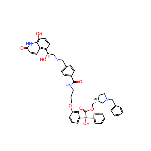 O=C(NCCCOc1cccc(C(O)(C(=O)OC[C@@H]2CCN(Cc3ccccc3)C2)c2ccccc2)c1)c1ccc(CNC[C@H](O)c2ccc(O)c3[nH]c(=O)ccc23)cc1